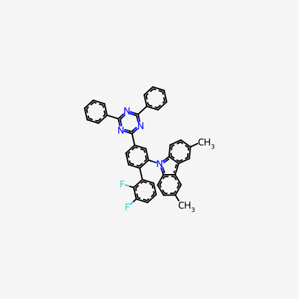 Cc1ccc2c(c1)c1cc(C)ccc1n2-c1cc(-c2nc(-c3ccccc3)nc(-c3ccccc3)n2)ccc1-c1cccc(F)c1F